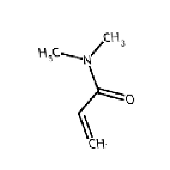 [CH]=CC(=O)N(C)C